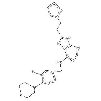 Fc1cc(CNc2ccnc3[nH]c(CCc4ccco4)nc23)ccc1N1CCOCC1